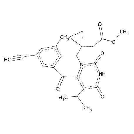 C#Cc1cc(C)cc(C(=O)c2c(C(C)C)c(=O)[nH]c(=O)n2CC2(CC(=O)OC)CC2)c1